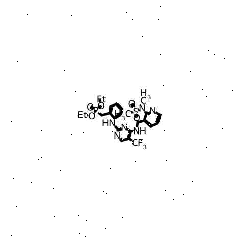 CCOP(=O)(Cc1ccccc1Nc1ncc(C(F)(F)F)c(NCc2cccnc2N(C)S(C)(=O)=O)n1)OCC